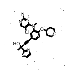 CN(c1cc(C#CC(C)(O)c2nccs2)ccc1OC1CCOCC1)c1nc(N)ncc1Cl